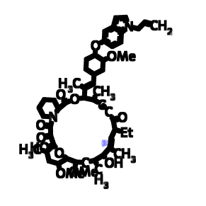 C=CCn1ccc2cc(OC3CCC(C=C(C)C4OC(=O)C5CCCCN5C(=O)C(=O)C5(O)OC(C(OC)CC(C)C(O)/C(C)=C/C(CC)C(=O)CCC4C)C(OC)CC5C)CC3OC)ccc21